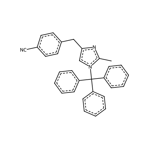 Cc1nc(Cc2ccc(C#N)cc2)cn1C(c1ccccc1)(c1ccccc1)c1ccccc1